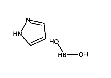 OBO.c1cn[nH]c1